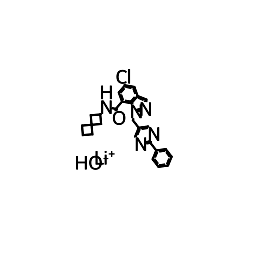 O=C(NC1CC2(CCC2)C1)c1cc(Cl)cc2cnn(Cc3cnc(-c4ccccc4)nc3)c12.[Li+].[OH-]